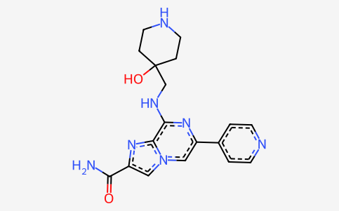 NC(=O)c1cn2cc(-c3ccncc3)nc(NCC3(O)CCNCC3)c2n1